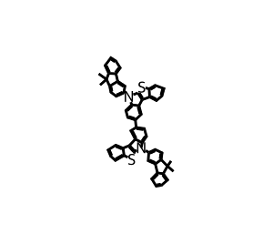 CC1(C)c2ccccc2-c2cc(-n3c4ccc(-c5ccc6c(c5)c5c7ccccc7sc5n6-c5ccc6c(c5)-c5ccccc5C6(C)C)cc4c4c5ccccc5sc43)ccc21